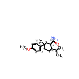 COc1ccc(C2(C)CCC(C(C)C)C(C(N)=O)C2)cc1